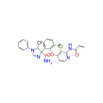 C=CC(=O)Nc1nccc(Oc2c(F)cccc2C2(C(N)=O)N=CN(c3ccccc3)C2C(F)(F)F)c1Cl